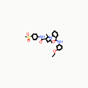 CCOc1cccc(NC(=O)c2ccccc2-n2c(C)cc(C(=O)Nc3ccc(S(C)(=O)=O)cc3)c2C)c1